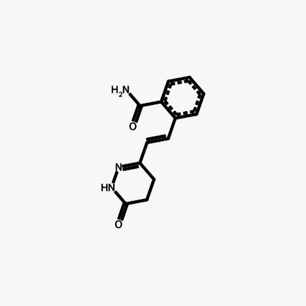 NC(=O)c1ccccc1C=CC1=NNC(=O)CC1